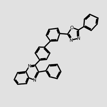 c1ccc(-c2nnc(-c3cccc(-c4ccc(-c5nc6ccccc6nc5-c5ccccc5)cc4)c3)o2)cc1